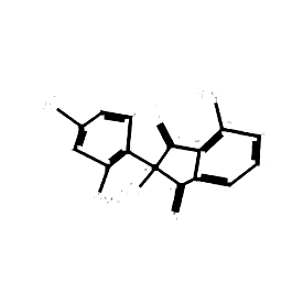 COc1cc(C(C)C)ccc1C1(O)C(=O)c2cccc(N)c2C1=O